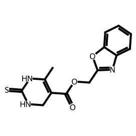 CC1=C(C(=O)OCc2nc3ccccc3o2)CNC(=S)N1